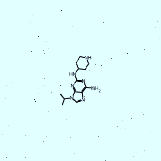 CC(C)n1cnc2c(N)nc(NC3CCNCC3)nc21